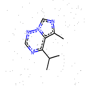 Cc1ncn2ncnc(C(C)C)c12